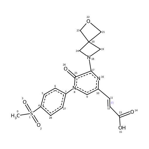 CS(=O)(=O)c1ccc(-n2cc(/C=C/C(=O)O)nc(N3CC4(COC4)C3)c2=O)cc1